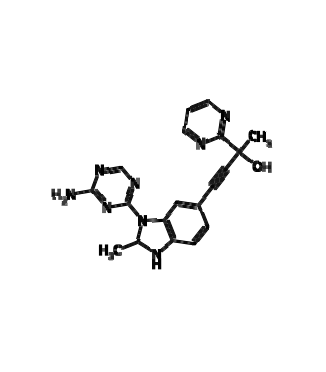 CC1Nc2ccc(C#CC(C)(O)c3ncccn3)cc2N1c1ncnc(N)n1